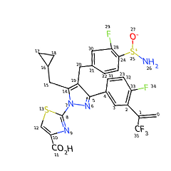 C=C(c1cc(-c2nn(-c3nc(C(=O)O)cs3)c(CC3CC3)c2Cc2ccc([S+](N)[O-])c(F)c2)ccc1F)C(F)(F)F